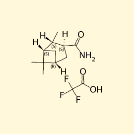 C[C@@H]1[C@@H](C(N)=O)C[C@H]2C[C@@H]1C2(C)C.O=C(O)C(F)(F)F